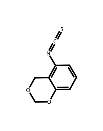 S=C=Nc1cccc2c1COCO2